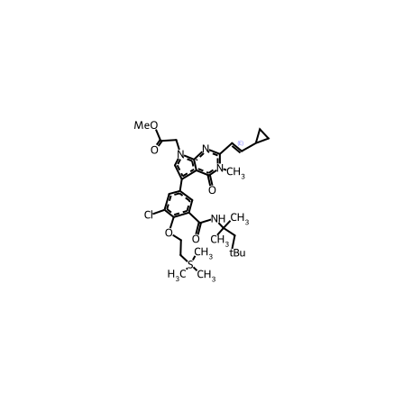 COC(=O)Cn1cc(-c2cc(Cl)c(OCCS(C)(C)C)c(C(=O)NC(C)(C)CC(C)(C)C)c2)c2c(=O)n(C)c(/C=C/C3CC3)nc21